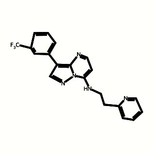 FC(F)(F)c1cccc(-c2cnn3c(NCCc4ccccn4)ccnc23)c1